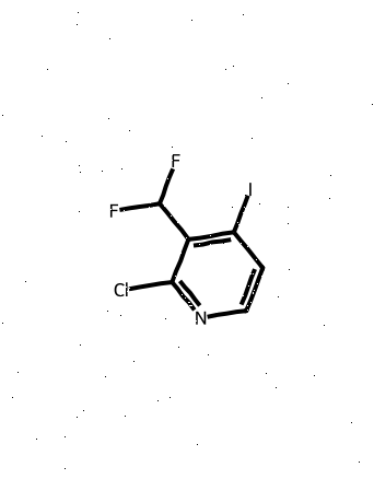 FC(F)c1c(I)ccnc1Cl